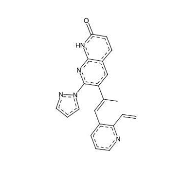 C=Cc1ncccc1/C=C(\C)c1cc2ccc(=O)[nH]c2nc1-n1cccn1